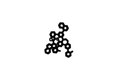 Cc1ccccc1-c1ccc2c(c1)-c1cc(-c3ccccc3C)cc3c1C(=CC2)c1cc(-c2cccc4ccccc24)cc2c1B3c1c(-c3cccc4c3ccc3ccccc34)oc3cccc-2c13